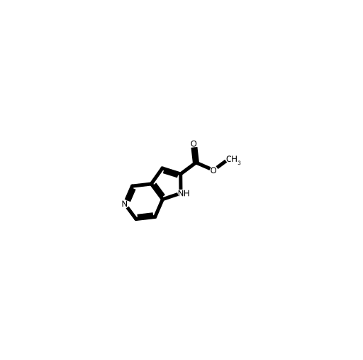 COC(=O)c1cc2cnccc2[nH]1